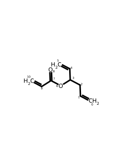 C=CCC(C=C)OC(=O)C=C